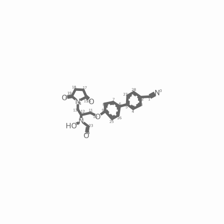 N#Cc1ccc(-c2ccc(OCC(CN3C(=O)CCC3=O)N(O)C=O)cc2)cc1